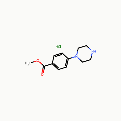 COC(=O)c1ccc(N2CCNCC2)cc1.Cl